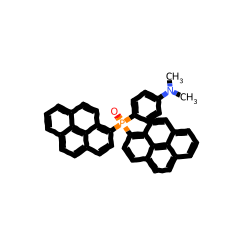 CN(C)c1ccc(P(=O)(c2ccc3ccc4cccc5ccc2c3c45)c2ccc3ccc4cccc5ccc2c3c45)cc1